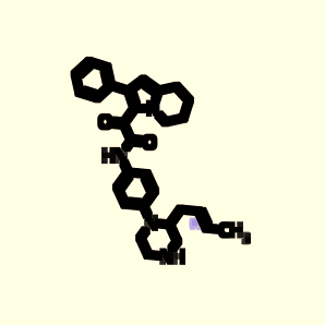 C/C=C/CC1CNCCN1c1ccc(NC(=O)C(=O)c2c(-c3ccccc3)cc3n2CCCC3)cc1